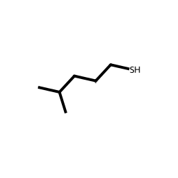 CC(C)C[CH]CS